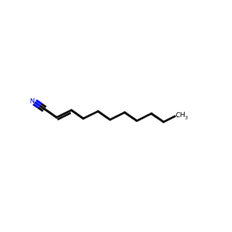 CCCCCCCCC=CC#N